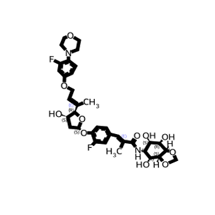 C/C(=C\c1ccc(O[C@H]2C[C@H](O)[C@@H](/C(C)=C/COc3ccc(N4CCOCC4)c(F)c3)O2)c(F)c1)C(=O)N[C@@H]1[C@H](O)[C@@H](O)[C@H]2OCO[C@H]2[C@@H]1O